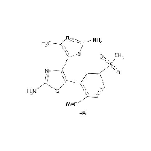 Br.COc1ccc(S(C)(=O)=O)cc1-c1sc(N)nc1-c1sc(N)nc1C